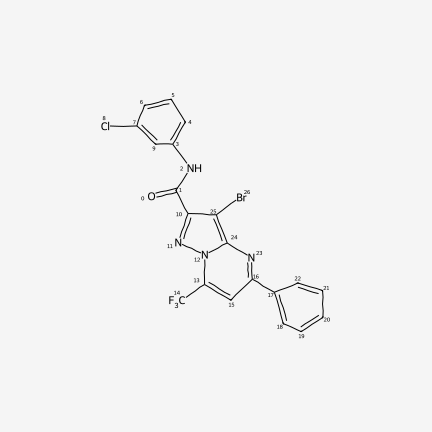 O=C(Nc1cccc(Cl)c1)c1nn2c(C(F)(F)F)cc(-c3ccccc3)nc2c1Br